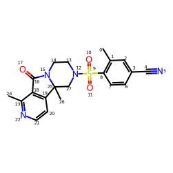 Cc1cc(C#N)ccc1S(=O)(=O)N1CCN2C(=O)c3c(ccnc3C)C2(C)C1